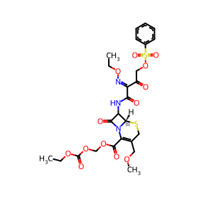 CCON=C(C(=O)COS(=O)(=O)c1ccccc1)C(=O)NC1C(=O)N2C(C(=O)OCOC(=O)OCC)=C(COC)CS[C@@H]12